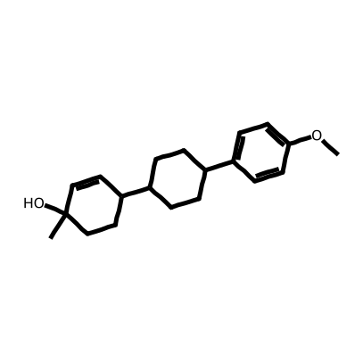 COc1ccc(C2CCC(C3C=CC(C)(O)CC3)CC2)cc1